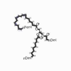 CCCCC/C=C\C/C=C\C/C=C\C/C=C\CCCCCC(=O)OC[C@@H](COC(=O)CCCCCCCCCCC)OC(=O)CCCCCCCCCCCCCCCCCC